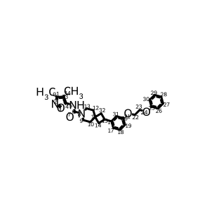 Cc1noc(NC(=O)N2CCC3(CC2)CC(c2cccc(OCCOc4ccccc4)c2)C3)c1C